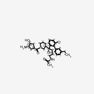 CCc1cccc(-c2c(Cl)cccc2[C@](O)(CCCNC(C)=O)[C@@H]2CCCN(C(=O)[C@H]3C[C@@H](N)[C@@H](O)C3)C2)c1